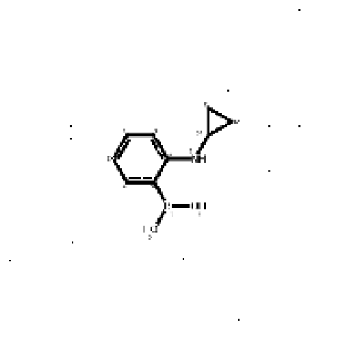 OB(O)c1ccccc1NC1CC1